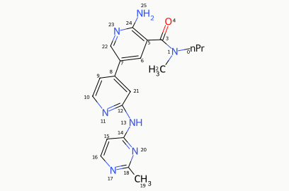 CCCN(C)C(=O)c1cc(-c2ccnc(Nc3ccnc(C)n3)c2)cnc1N